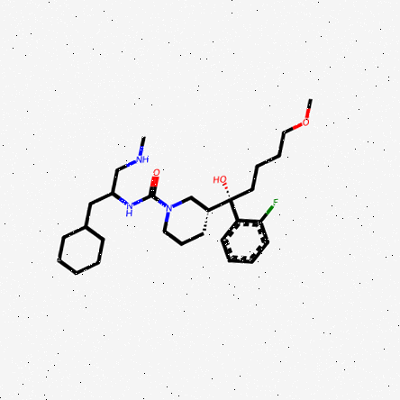 CNCC(CC1CCCCC1)NC(=O)N1CCC[C@@H]([C@@](O)(CCCCOC)c2ccccc2F)C1